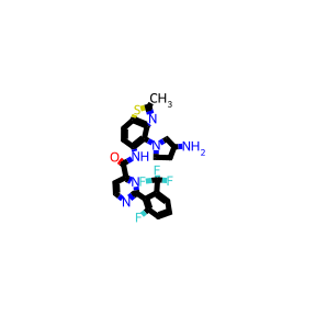 Cc1nc2c(N3CCC(N)C3)c(NC(=O)c3ccnc(-c4c(F)cccc4C(F)(F)F)n3)ccc2s1